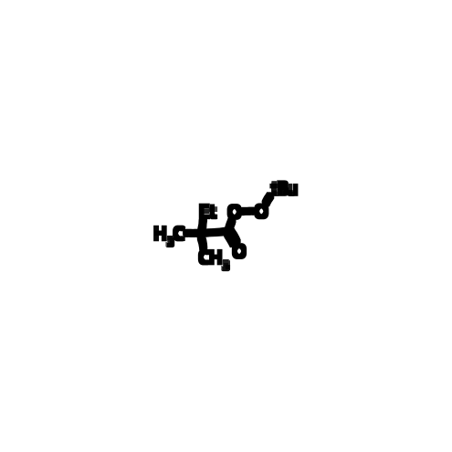 CCC(C)(C)C(=O)OOC(C)(C)C